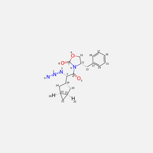 [N-]=[N+]=N[C@H](C(=O)N1C(=O)OC[C@@H]1Cc1ccccc1)[C@@H]1C[C@H]2C[C@H]2C1